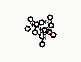 c1ccc(-c2cc(-c3cccc4c5c(ccc6c7ccccc7n(-c7ccccc7)c65)n(-c5ccc6c(c5)c5c(ccc7c8ccccc8n(-c8ccccc8)c75)n6-c5ccccc5)c34)nc(-c3ccccc3)n2)cc1